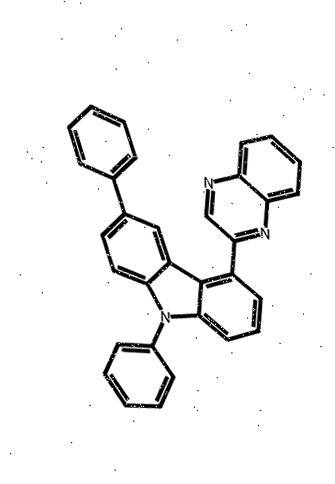 c1ccc(-c2ccc3c(c2)c2c(-c4cnc5ccccc5n4)cccc2n3-c2ccccc2)cc1